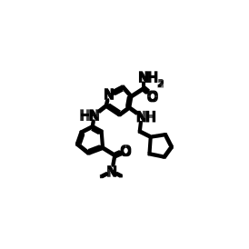 CN(C)C(=O)c1cccc(Nc2cc(NCC3CCCC3)c(C(N)=O)cn2)c1